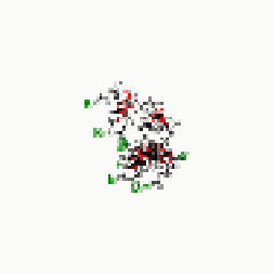 C[Si](C)(CCC[Si](O[Si](C)(C)CCCBr)(O[Si](C)(C)CCCBr)O[Si](C)(C)CCCBr)O[Si](C)(O[Si](C)(C)CCC[Si](O[Si](C)(C)CCCBr)(O[Si](C)(C)CCCBr)O[Si](C)(C)CCCBr)O[Si](C)(C)CCC[Si](O[Si](C)(C)CCCBr)(O[Si](C)(C)CCCBr)O[Si](C)(C)CCCBr